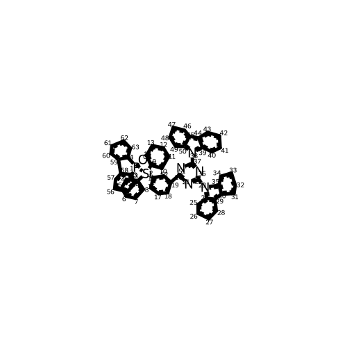 O=P1([Si](c2ccccc2)(c2ccccc2)c2cccc(-c3nc(-n4c5ccccc5c5ccccc54)nc(-n4c5ccccc5c5ccccc54)n3)c2)c2ccccc2-c2ccccc21